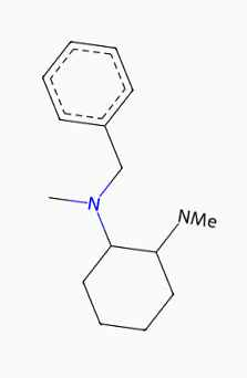 CNC1CCCCC1N(C)Cc1ccccc1